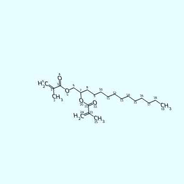 C=C(C)C(=O)OCC(CCCCCCCCCCCC)OC(=O)C(=C)C